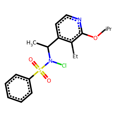 CCc1c(C(C)N(Cl)S(=O)(=O)c2ccccc2)ccnc1OC(C)C